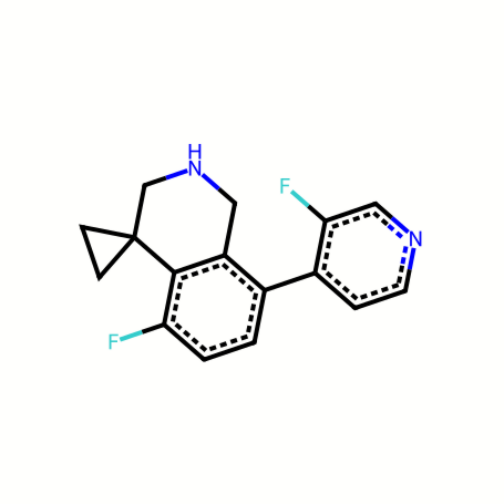 Fc1cnccc1-c1ccc(F)c2c1CNCC21CC1